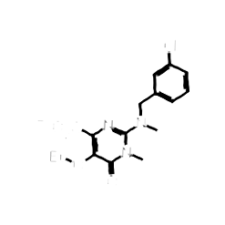 CCOC(=O)c1nc(N(C)Cc2cccc(Cl)c2)n(C)c(=O)c1OCC